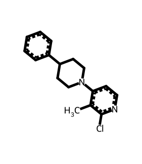 Cc1c(N2CCC(c3ccccc3)CC2)ccnc1Cl